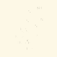 Nc1nc(F)nc2c1ncn2[C@@H]1O[C@H](CO)[C@](O)(P(O)(O)=S)[C@H]1O